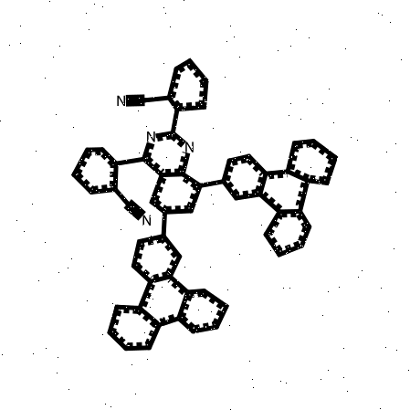 N#Cc1ccccc1-c1nc(-c2ccccc2C#N)c2cc(-c3ccc4c5ccccc5c5ccccc5c4c3)cc(-c3ccc4c5ccccc5c5ccccc5c4c3)c2n1